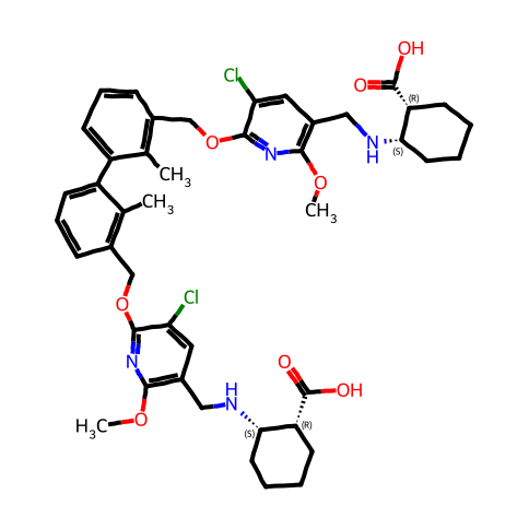 COc1nc(OCc2cccc(-c3cccc(COc4nc(OC)c(CN[C@H]5CCCC[C@H]5C(=O)O)cc4Cl)c3C)c2C)c(Cl)cc1CN[C@H]1CCCC[C@H]1C(=O)O